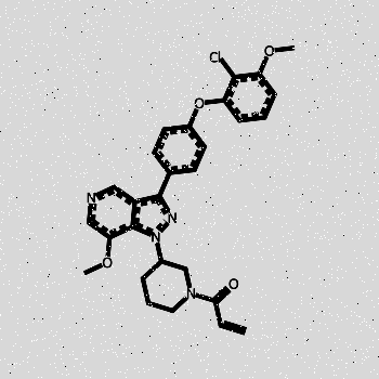 C=CC(=O)N1CCCC(n2nc(-c3ccc(Oc4cccc(OC)c4Cl)cc3)c3cncc(OC)c32)C1